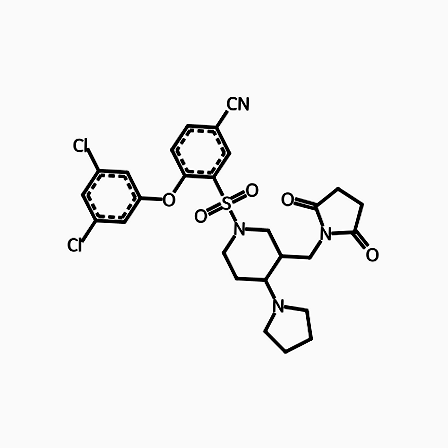 N#Cc1ccc(Oc2cc(Cl)cc(Cl)c2)c(S(=O)(=O)N2CCC(N3CCCC3)C(CN3C(=O)CCC3=O)C2)c1